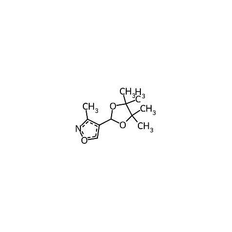 Cc1nocc1C1OC(C)(C)C(C)(C)O1